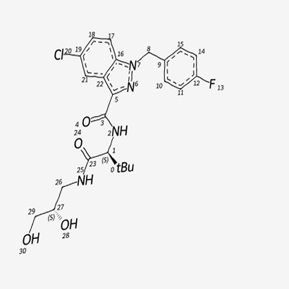 CC(C)(C)[C@H](NC(=O)c1nn(Cc2ccc(F)cc2)c2ccc(Cl)cc12)C(=O)NC[C@H](O)CO